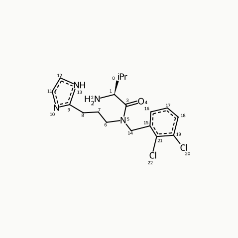 CC(C)[C@H](N)C(=O)N(CCCc1ncc[nH]1)Cc1cccc(Cl)c1Cl